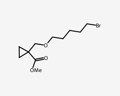 COC(=O)C1(COCCCCCBr)CC1